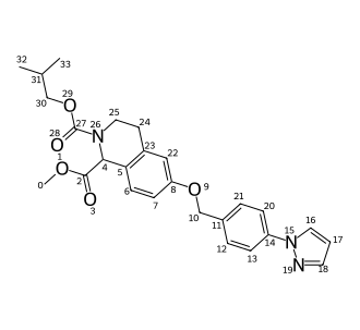 COC(=O)C1c2ccc(OCc3ccc(-n4cccn4)cc3)cc2CCN1C(=O)OCC(C)C